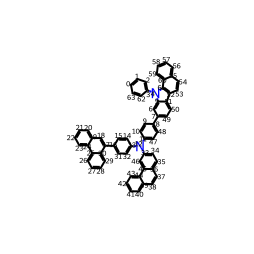 c1ccc(-n2c3cc(-c4ccc(N(c5ccc(-c6cc7ccccc7c7ccccc67)cc5)c5ccc6ccc7ccccc7c6c5)cc4)ccc3c3ccc4ccccc4c32)cc1